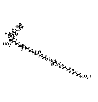 CC(C)(NC(=O)CCc1cnc[nH]1)C(=O)CN[C@@H](CCCCNC(=O)COCCOCCNC(=O)COCCOCCNC(=O)CCCCCCCCCCCCCCCCC(=O)O)C(=O)O